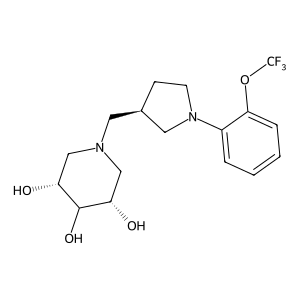 OC1[C@H](O)CN(C[C@H]2CCN(c3ccccc3OC(F)(F)F)C2)C[C@@H]1O